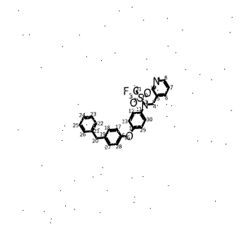 O=S(=O)(N(Cc1cccnc1)c1ccc(Oc2ccc(Cc3ccccc3)cc2)cc1)C(F)(F)F